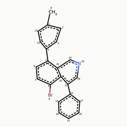 Cc1ccc(-c2ccc(Br)c3c(-c4ccccc4)cncc23)cc1